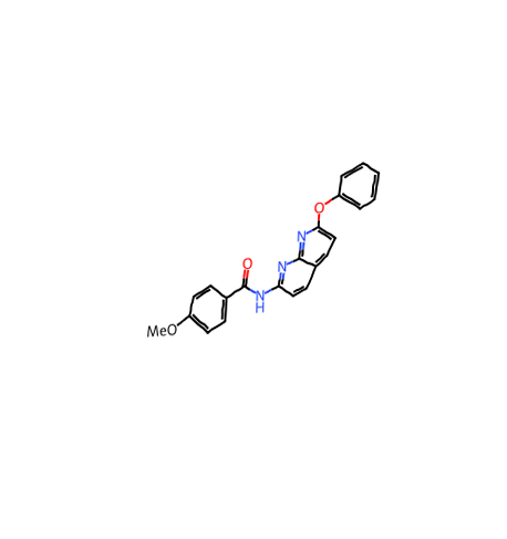 COc1ccc(C(=O)Nc2ccc3ccc(Oc4ccccc4)nc3n2)cc1